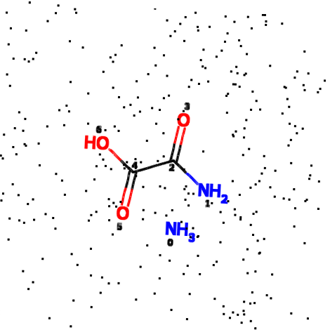 N.NC(=O)C(=O)O